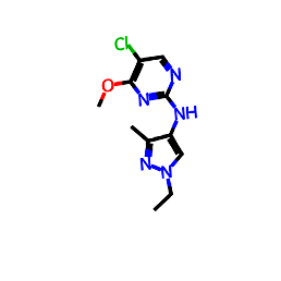 CCn1cc(Nc2ncc(Cl)c(OC)n2)c(C)n1